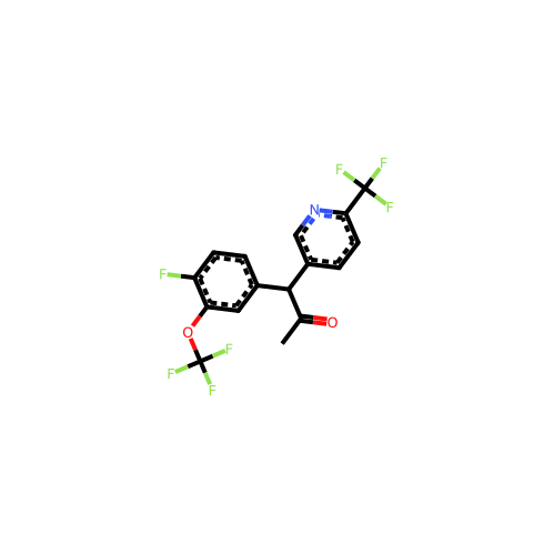 CC(=O)C(c1ccc(C(F)(F)F)nc1)c1ccc(F)c(OC(F)(F)F)c1